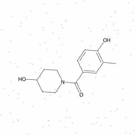 Cc1cc(C(=O)N2CCC(O)CC2)ccc1O